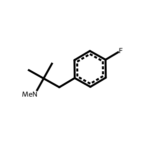 [CH2-][NH2+]C(C)(C)Cc1ccc(F)cc1